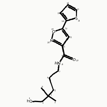 CC(C)(CO)CCCNC(=O)c1cc(-c2cccs2)on1